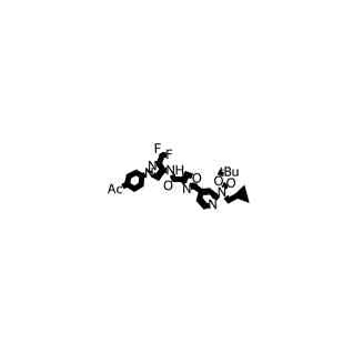 CC(=O)C1CCC(n2cc(NC(=O)c3coc(-c4ccnc(N(CC5CC5)C(=O)OC(C)(C)C)c4)n3)c(C(F)F)n2)CC1